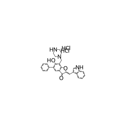 Cl.Cl.O=C1/C(=C/c2c[nH]c3ccccc23)Oc2c1cc(-c1ccccc1)c(O)c2CN1CCNCC1